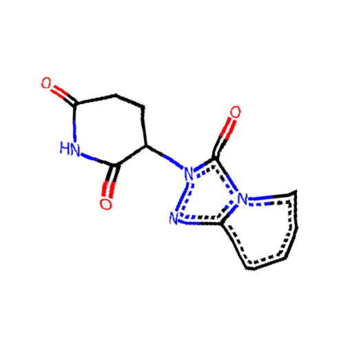 O=C1CCC(n2nc3ccccn3c2=O)C(=O)N1